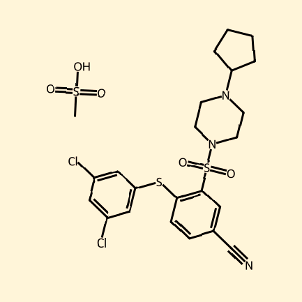 CS(=O)(=O)O.N#Cc1ccc(Sc2cc(Cl)cc(Cl)c2)c(S(=O)(=O)N2CCN(C3CCCC3)CC2)c1